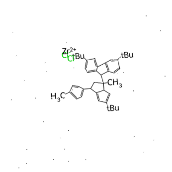 Cc1ccc(C2CC(C)(C3c4ccc(C(C)(C)C)cc4-c4cc(C(C)(C)C)ccc43)C3C=C(C(C)(C)C)C=C23)cc1.[Cl-].[Cl-].[Zr+2]